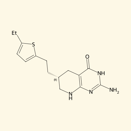 CCc1ccc(CC[C@H]2CNc3nc(N)[nH]c(=O)c3C2)s1